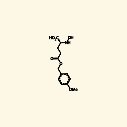 COc1ccc(COC(=O)CC[C@H](NO)C(=O)O)cc1